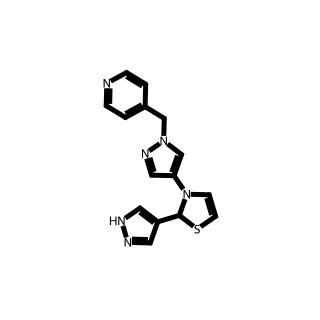 C1=CN(c2cnn(Cc3ccncc3)c2)C(c2cn[nH]c2)S1